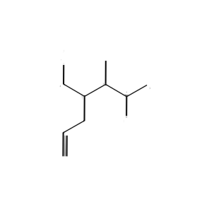 C=CCC(CO)C(C)C(C)O